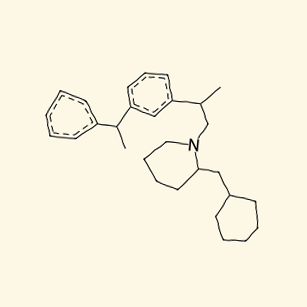 CC(CN1CCCCC1CC1CCCCC1)c1cccc(C(C)c2ccccc2)c1